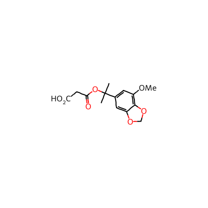 COc1cc(C(C)(C)OC(=O)CC(=O)O)cc2c1OCO2